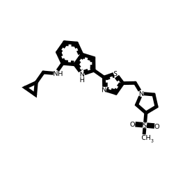 CS(=O)(=O)C1CCN(Cc2cnc(-c3cc4cccc(NCC5CC5)c4[nH]3)s2)C1